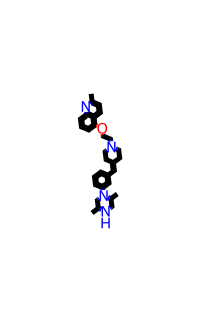 Cc1ccc2c(OCCN3CCC(=Cc4cccc(N5CC(C)NCC5C)c4)CC3)cccc2n1